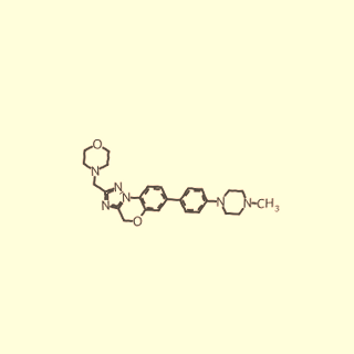 CN1CCN(c2ccc(-c3ccc4c(c3)OCc3nc(CN5CCOCC5)nn3-4)cc2)CC1